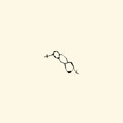 FC(F)(F)c1ccc2c(c1)CC1CC#CC(C(F)(F)F)/C=C\C1CN2